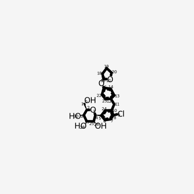 OC[C@H]1O[C@@H](c2ccc(Cl)c(Cc3ccc(O[C@H]4CCCO4)cc3)c2)[C@H](O)[C@@H](O)[C@@H]1O